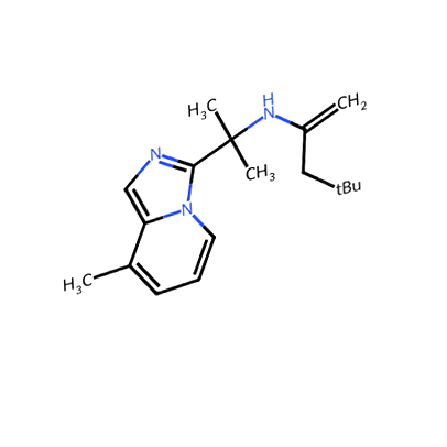 C=C(CC(C)(C)C)NC(C)(C)c1ncc2c(C)cccn12